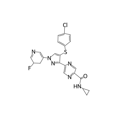 O=C(NC1CC1)c1cnc(-c2nn(C3=CN=CC(F)C3)cc2Sc2ccc(Cl)cc2)cn1